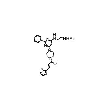 CC(=O)NCCNc1cc(N2CCN(C(=O)C=Cc3cccs3)CC2)nc(-c2ccccc2)n1